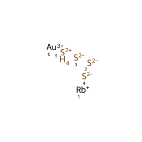 [Au+3].[Rb+].[S-2].[S-2].[S-2].[SH4+2]